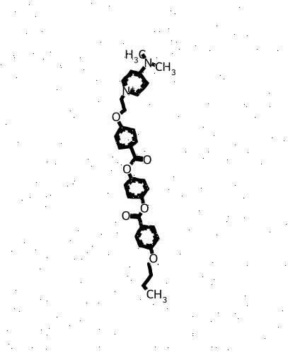 CCCCOc1ccc(C(=O)Oc2ccc(OC(=O)c3ccc(OCC[n+]4ccc(N(C)C)cc4)cc3)cc2)cc1